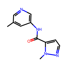 Cc1cncc(NC(=O)c2ccnn2C)c1